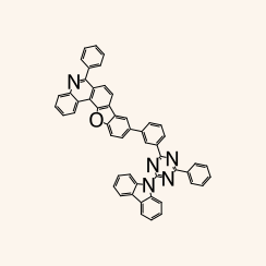 c1ccc(-c2nc(-c3cccc(-c4ccc5oc6c(ccc7c(-c8ccccc8)nc8ccccc8c76)c5c4)c3)nc(-n3c4ccccc4c4ccccc43)n2)cc1